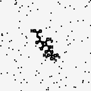 C[C@H]1[C@H](NC(=O)OC(C)(C)C)C(=O)N1C(=O)C=CC(=O)O